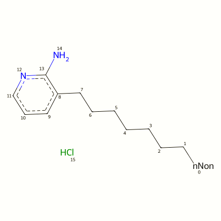 CCCCCCCCCCCCCCCCc1cccnc1N.Cl